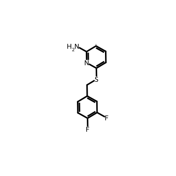 Nc1[c]ccc(SCc2ccc(F)c(F)c2)n1